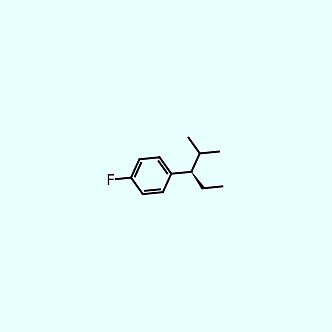 CC[C@@H](c1ccc(F)cc1)C(C)C